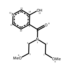 COCCN(CCOC)C(=O)c1ccncc1O